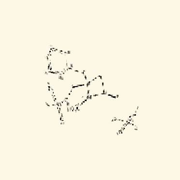 CS(=O)(=O)OC[C@@H]1C[C@@](COS(C)(=O)=O)(Cc2ccccc2)N1C(=O)O